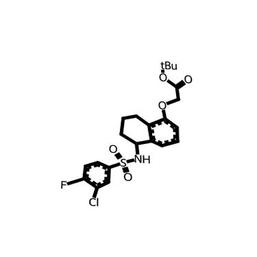 CC(C)(C)OC(=O)COc1cccc2c1CCCC2NS(=O)(=O)c1ccc(F)c(Cl)c1